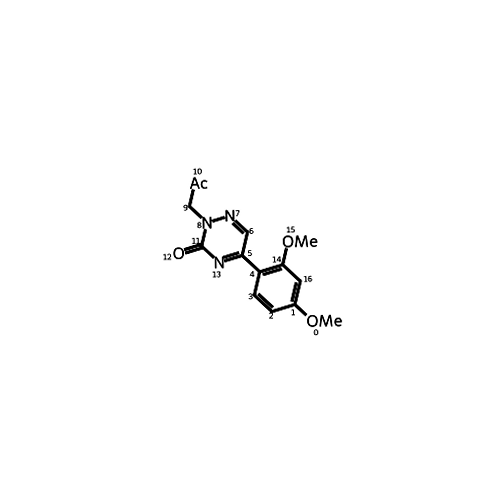 COc1ccc(-c2cnn(CC(C)=O)c(=O)n2)c(OC)c1